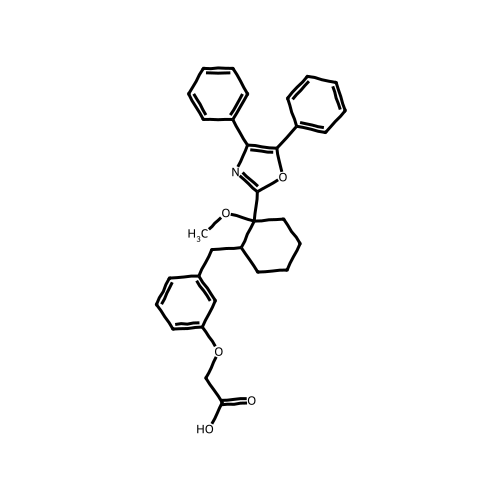 COC1(c2nc(-c3ccccc3)c(-c3ccccc3)o2)CCCCC1Cc1cccc(OCC(=O)O)c1